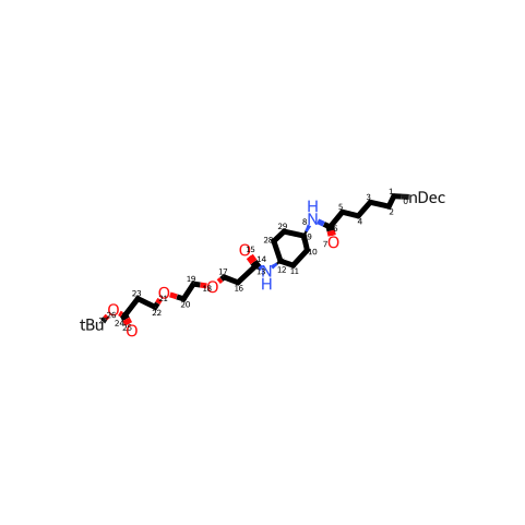 CCCCCCCCCCCCCCCC(=O)N[C@H]1CC[C@@H](NC(=O)CCOCCOCCC(=O)OC(C)(C)C)CC1